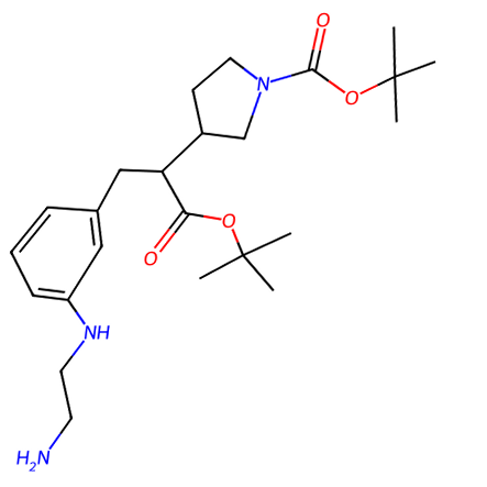 CC(C)(C)OC(=O)C(Cc1cccc(NCCN)c1)C1CCN(C(=O)OC(C)(C)C)C1